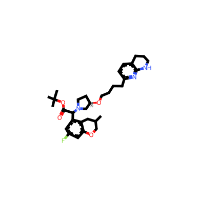 CC1COc2cc(F)cc(C(C(=O)OC(C)(C)C)N3CC[C@@H](OCCCCc4ccc5c(n4)NCCC5)C3)c2C1